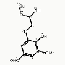 COc1cc(C=O)cc(OCC(O)OC(C)(C)C)c1O